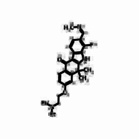 CCN(CC)CCOc1ccc2c(c1)C(C)(C)c1[nH]c3c(F)c(/C=N\C)ccc3c1C2=O